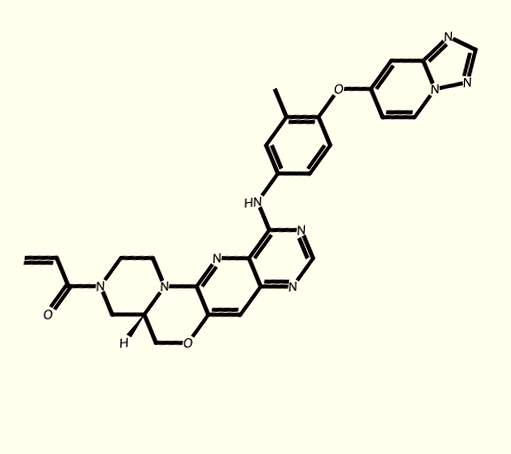 C=CC(=O)N1CCN2c3nc4c(Nc5ccc(Oc6ccn7ncnc7c6)c(C)c5)ncnc4cc3OC[C@@H]2C1